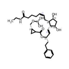 CCNC(=O)CCC/C=C\C[C@@H]1[C@@H](/C=C/[C@H](CCc2ccccc2)OC(=O)C2C[C@@H]2CON(O)O)[C@H](O)C[C@@H]1O